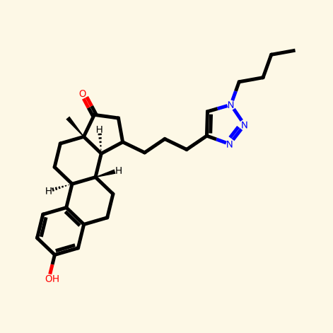 CCCCn1cc(CCCC2CC(=O)[C@@]3(C)CC[C@@H]4c5ccc(O)cc5CC[C@H]4[C@H]23)nn1